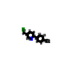 CCc1ccc(-c2ccc(CF)cn2)cc1